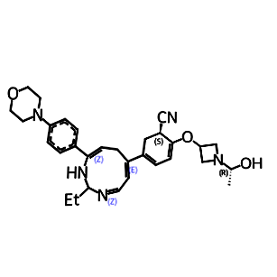 CCC1/N=C\C=C(\C2=CC=C(OC3CN([C@@H](C)O)C3)[C@H](C#N)C2)C/C=C(/c2ccc(N3CCOCC3)cc2)N1